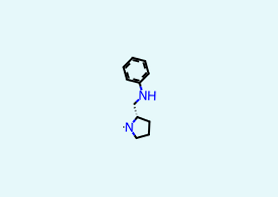 c1ccc(NC[C@@H]2CCC[N]2)cc1